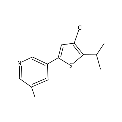 Cc1cncc(-c2cc(Cl)c(C(C)C)s2)c1